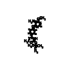 CCC(NC(=O)OC(C)(C)C)c1ccc(Oc2ncnc(OC)c2N)cc1